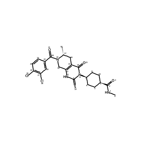 CNC(=O)[C@H]1CC[C@@H](n2c(=S)[nH]c3c(c2=O)C[C@@H](C)N(C(=O)c2ccc(Cl)c(Cl)c2)C3)CC1